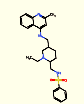 CCN1CC(CNc2cc(C)nc3ccccc23)CCC1CNS(=O)(=O)c1ccccc1